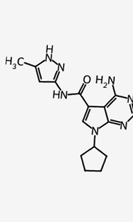 Cc1cc(NC(=O)c2cn(C3CCCC3)c3ncnc(N)c23)n[nH]1